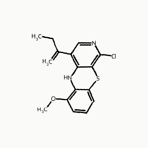 C=C(CC)c1cnc(Cl)c2c1Nc1c(OC)cccc1S2